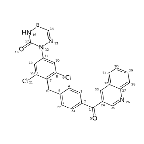 O=C(c1ccc(Cc2c(Cl)cc(N3N=CCNC3=O)cc2Cl)cc1)c1cnc2ccccc2c1